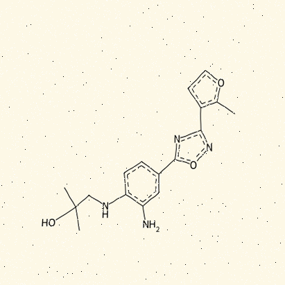 Cc1occc1-c1noc(-c2ccc(NCC(C)(C)O)c(N)c2)n1